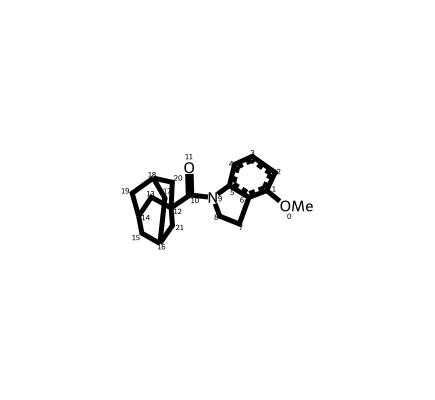 COc1cccc2c1CCN2C(=O)C12CC3CC(CC(C3)C1)C2